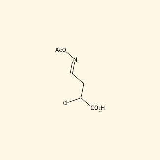 CC(=O)ON=CCC(Cl)C(=O)O